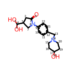 O=C1CC(C(O)O)CN1c1ccc(CN2CCC(O)CC2)cc1